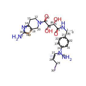 C[C@@H](NC(=O)[C@H](O)[C@@H](O)C(=O)N1CCc2nc(N)sc2C1)c1ccc(N(N)/C=C\CI)cc1